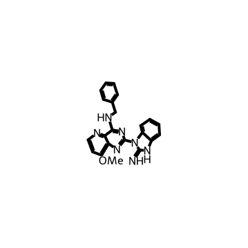 COc1ccnc2c(NCc3ccccc3)nc(-n3c(=N)[nH]c4ccccc43)nc12